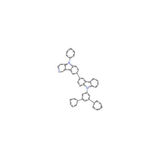 c1ccc(-c2cc(-c3ccccc3)cc(-n3c4ccccc4c4cc(-c5ccc6c(c5)c5cnccc5n6-c5ccccc5)ccc43)c2)cc1